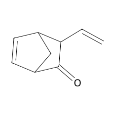 C=CC1C(=O)C2C=CC1C2